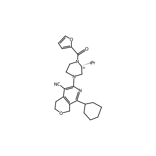 CC(C)[C@@H]1CN(c2nc(C3CCCCC3)c3c(c2C#N)CCOC3)CCN1C(=O)c1ccco1